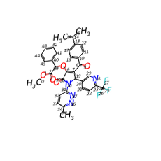 COC(=O)[C@H](OC1=C(C(=O)c2ccc(C(C)C)cc2)C(c2ccc(C(F)(F)F)nc2)N(c2ccc(C)nn2)C1=O)c1ccccc1